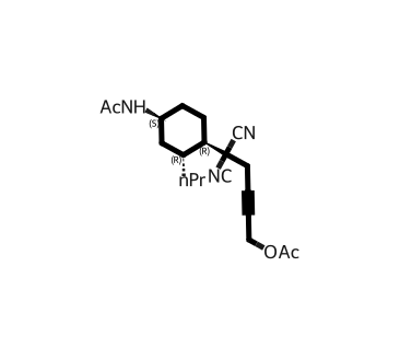 CCC[C@@H]1C[C@@H](NC(C)=O)CC[C@H]1C(C#N)(C#N)CC#CCOC(C)=O